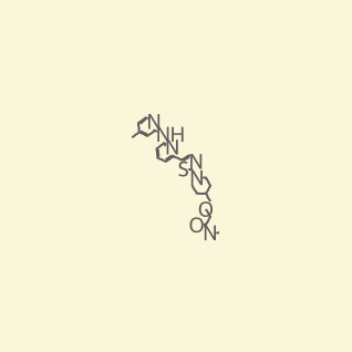 Cc1ccnc(Nc2cccc(-c3cnc(N4CCC(COCC(=O)N(C)C)CC4)s3)n2)c1